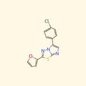 Clc1ccc(-c2cnc3sc(-c4ccco4)nn23)cc1